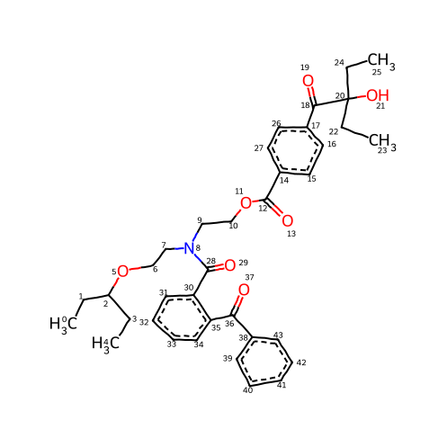 CCC(CC)OCCN(CCOC(=O)c1ccc(C(=O)C(O)(CC)CC)cc1)C(=O)c1ccccc1C(=O)c1ccccc1